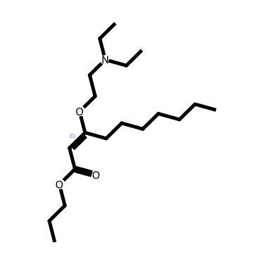 CCCCCCC/C(=C\C(=O)OCCC)OCCN(CC)CC